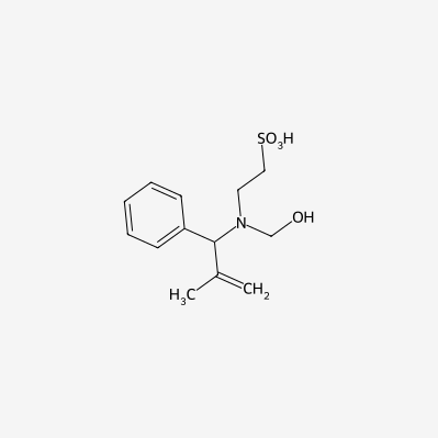 C=C(C)C(c1ccccc1)N(CO)CCS(=O)(=O)O